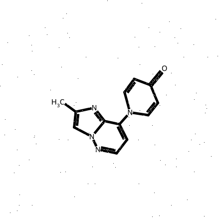 Cc1cn2nccc(-n3ccc(=O)cc3)c2n1